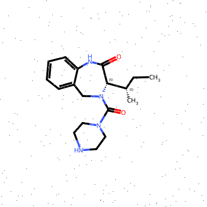 CC[C@H](C)[C@H]1C(=O)Nc2ccccc2CN1C(=O)N1CCNCC1